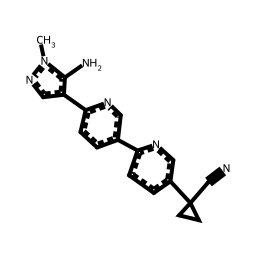 Cn1ncc(-c2ccc(-c3ccc(C4(C#N)CC4)cn3)cn2)c1N